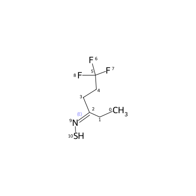 CC/C(CCC(F)(F)F)=N\S